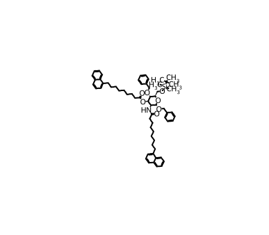 CC(C)(C)[Si](C)(C)OC[C@H]1O[C@H](OCc2ccccc2)[C@@H](NC(=O)CCCCCCCCc2cccc3ccccc23)[C@@H](OC(=O)CCCCCCCCc2cccc3ccccc23)[C@@H]1OCc1ccccc1